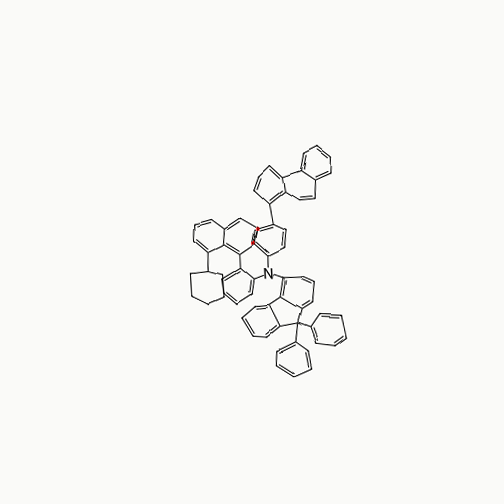 c1ccc(C2(c3ccccc3)c3ccccc3-c3c(N(c4ccc(-c5cccc6c5ccc5ccccc56)cc4)c4ccccc4-c4cccc5cccc(C6CCCCC6)c45)cccc32)cc1